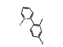 [CH2-][n+]1ccccc1-c1ccc(F)cc1C